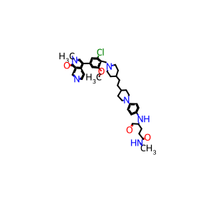 CNC(=O)CCC(C=O)Nc1ccc(N2CCC(CCC3CCN(Cc4c(Cl)cc(-c5cn(C)c(=O)c6cnccc56)cc4OC)CC3)CC2)cc1